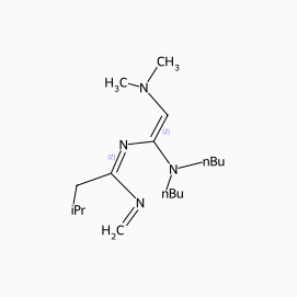 C=N/C(CC(C)C)=N\C(=C/N(C)C)N(CCCC)CCCC